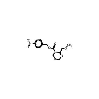 COCC1=NC[C]CN1C(=O)OCc1ccc([N+](=O)[O-])cc1